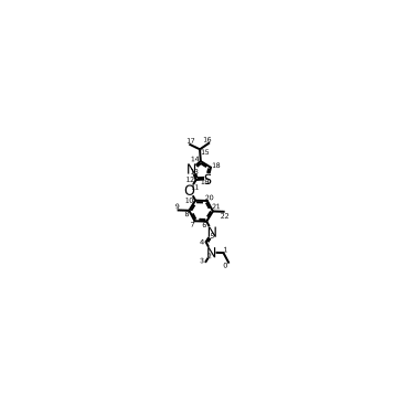 CCN(C)/C=N/c1cc(C)c(Oc2nc(C(C)C)cs2)cc1C